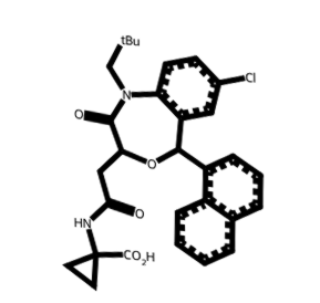 CC(C)(C)CN1C(=O)C(CC(=O)NC2(C(=O)O)CC2)OC(c2cccc3ccccc23)c2cc(Cl)ccc21